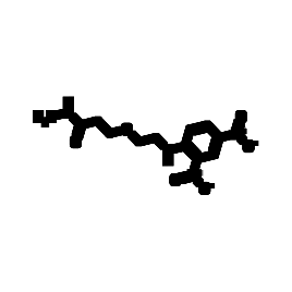 NNC(=O)CCOCCNc1ccc([N+](=O)[O-])cc1[N+](=O)[O-]